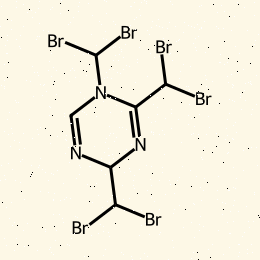 BrC(Br)C1=NC(C(Br)Br)N=CN1C(Br)Br